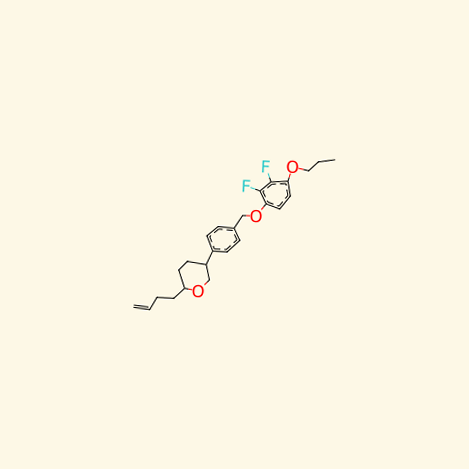 C=CCCC1CCC(c2ccc(COc3ccc(OCCC)c(F)c3F)cc2)CO1